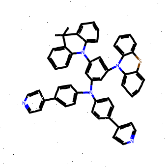 CC1(C)c2ccccc2N(c2cc(N(c3ccc(-c4ccncc4)cc3)c3ccc(-c4ccncc4)cc3)cc(N3c4ccccc4Sc4ccccc43)c2)c2ccccc21